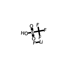 O=S(=O)(O)C(F)(F)F.[Li][F]